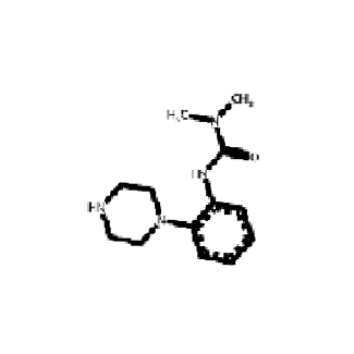 CN(C)C(=O)Nc1ccccc1N1CCNCC1